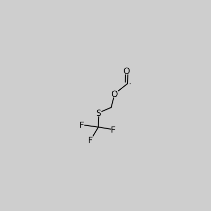 O=[C]OCSC(F)(F)F